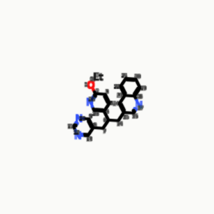 CCOc1ccc(C(Cc2cncnc2)Cc2cnc3ccccc3c2)cn1